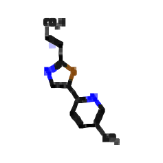 O=C(O)/C=C/c1ncc(-c2ccc([N+](=O)[O-])cn2)s1